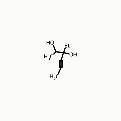 [CH2]C#CC(O)(CC)C(C)O